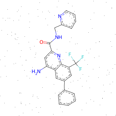 Nc1cc(C(=O)NCc2ccccn2)nc2c(C(F)(F)F)cc(-c3ccccc3)cc12